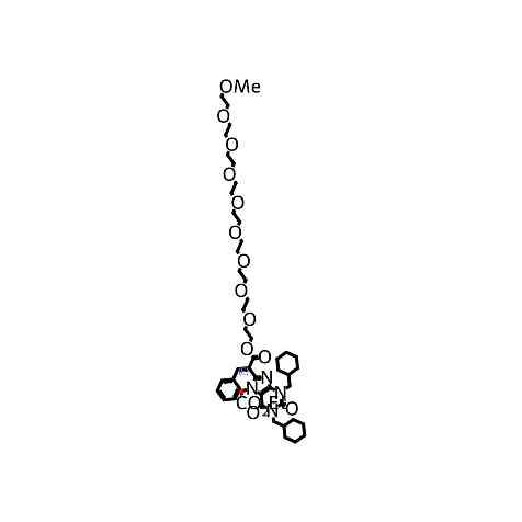 CCOC(=O)Cn1c(/C(=C\c2ccccc2)C(=O)OCCOCCOCCOCCOCCOCCOCCOCCOCCOC)nc2c1c(=O)n(CC1CCCCC1)c(=O)n2CC1CCCCC1